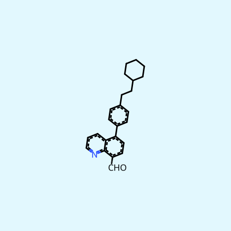 O=Cc1ccc(-c2ccc(CCC3CCCCC3)cc2)c2cccnc12